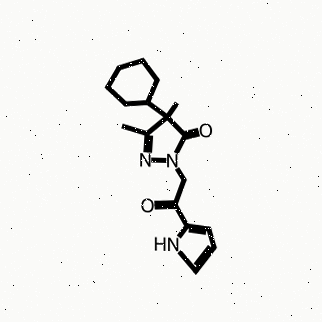 CC1=NN(CC(=O)c2ccc[nH]2)C(=O)C1(C)C1CCCCC1